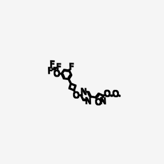 COCOc1cc(-c2cnc(OC3CC(c4cc(F)cc(OC(F)(F)F)c4)C3)cn2)on1